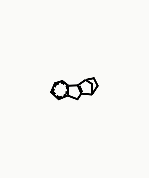 c1ccc2c(c1)CC1=C2C2CCC1C2